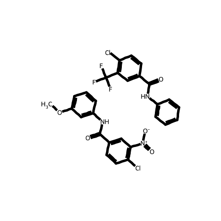 COc1cccc(NC(=O)c2ccc(Cl)c([N+](=O)[O-])c2)c1.O=C(Nc1ccccc1)c1ccc(Cl)c(C(F)(F)F)c1